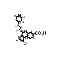 O=C(O)c1ccc2c(c1)nc(NCCc1ccncc1)c1n[nH]c(=O)n12